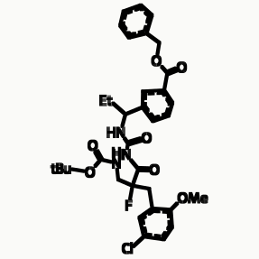 CCC(NC(=O)NC(=O)C(F)(CNC(=O)OC(C)(C)C)Cc1cc(Cl)ccc1OC)c1cccc(C(=O)OCc2ccccc2)c1